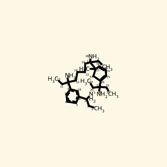 CCC(N)c1cccc(C(N)(CC)CCCCC(N)(CC)C2(C)C=CC=C(C(N)(CC)CC)C2)c1